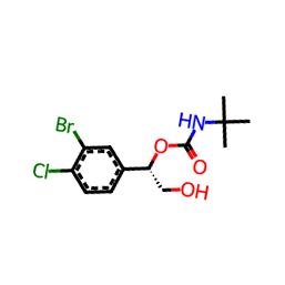 CC(C)(C)NC(=O)O[C@H](CO)c1ccc(Cl)c(Br)c1